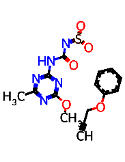 C#CCOc1ccccc1.COc1nc(C)nc(NC(=O)N=S(=O)=O)n1